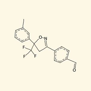 Cc1cccc(C2(C(F)(F)F)CC(c3ccc(C=O)cc3)=NO2)c1